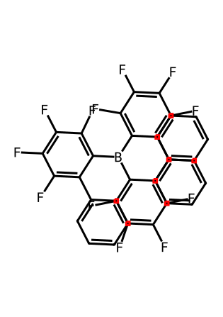 Fc1c(F)c(F)c(-c2ccccc2)c(B(c2c(F)c(F)c(F)c(F)c2-c2ccccc2)c2c(F)c(F)c(F)c(F)c2-c2ccccc2)c1F